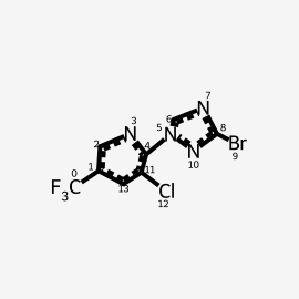 FC(F)(F)c1cnc(-n2cnc(Br)n2)c(Cl)c1